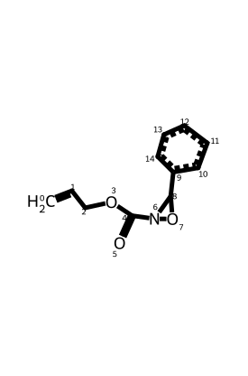 C=CCOC(=O)N1OC1c1ccccc1